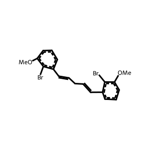 COc1cccc(C=CCC=Cc2cccc(OC)c2Br)c1Br